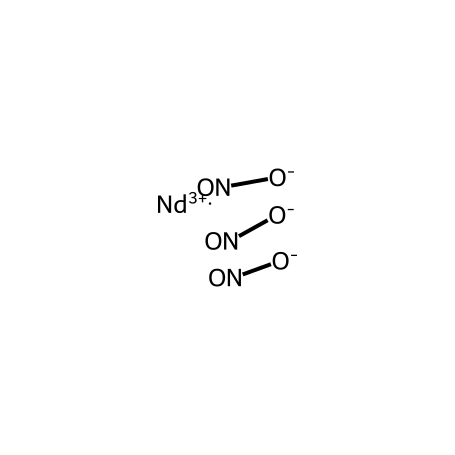 O=N[O-].O=N[O-].O=N[O-].[Nd+3]